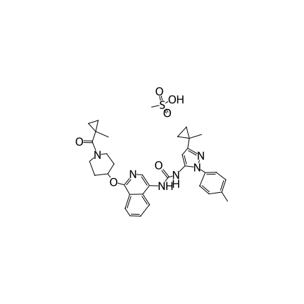 CS(=O)(=O)O.Cc1ccc(-n2nc(C3(C)CC3)cc2NC(=O)Nc2cnc(OC3CCN(C(=O)C4(C)CC4)CC3)c3ccccc23)cc1